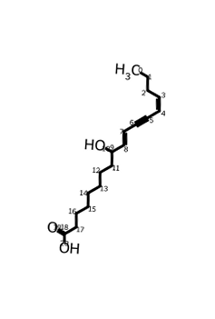 CCC/C=C\C#C/C=C/C(O)CCCCCCCC(=O)O